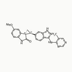 COc1ccc2c(c1)[C@]1(C[C@H]1c1ccc3c(Nc4ncncc4C)n[nH]c3c1)C(=O)N2